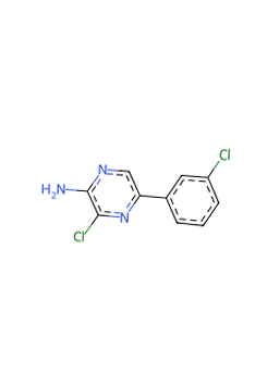 Nc1ncc(-c2cccc(Cl)c2)nc1Cl